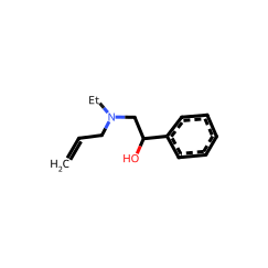 C=CCN(CC)CC(O)c1ccccc1